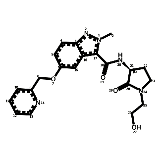 Cn1nc2ccc(OCc3ccccn3)cc2c1C(=O)N[C@H]1CCN(CCO)C1=O